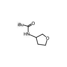 CCC(C)C(=O)NC1CCOC1